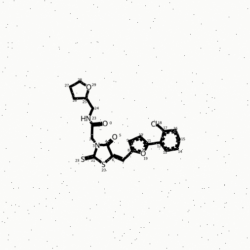 O=C(CN1C(=O)C(=Cc2ccc(-c3ccccc3Cl)o2)SC1=S)NCC1CCCO1